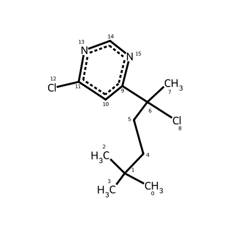 CC(C)(C)CCC(C)(Cl)c1cc(Cl)ncn1